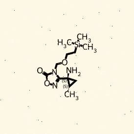 C[C@H]1C[C@@]1(N)c1noc(=O)n1COCC[Si](C)(C)C